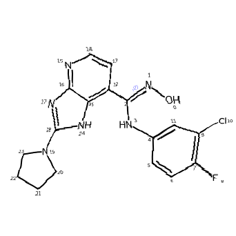 O/N=C(\Nc1ccc(F)c(Cl)c1)c1ccnc2nc(N3CCCC3)[nH]c12